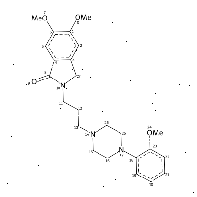 COc1cc2c(cc1OC)C(=O)N(CCCN1CCN(c3ccccc3OC)CC1)C2